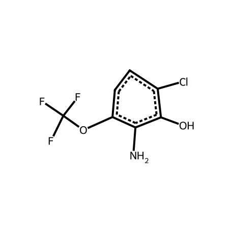 Nc1c(OC(F)(F)F)ccc(Cl)c1O